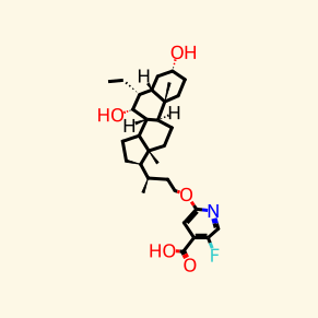 CC[C@H]1[C@@H](O)[C@H]2C3CC[C@H]([C@H](C)CCOc4cc(C(=O)O)c(F)cn4)[C@@]3(C)CC[C@@H]2[C@@]2(C)CC[C@@H](O)C[C@@H]12